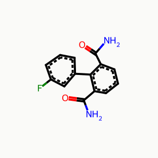 NC(=O)c1cccc(C(N)=O)c1-c1cccc(F)c1